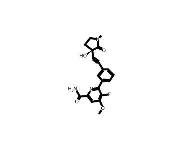 COc1cc(C(N)=O)nc(-c2cccc(C#C[C@]3(O)CCN(C)C3=O)c2)c1F